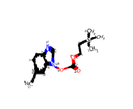 C[Si](C)(C)CCOC(=O)On1cnc2ccc(C#N)cc21